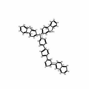 c1cc(-c2ccc(-c3ccc(N(c4ccc5c(c4)sc4ccccc45)c4ccc5c(c4)sc4ccccc45)cc3)cc2)cc(-c2ccc3ccccc3c2)c1